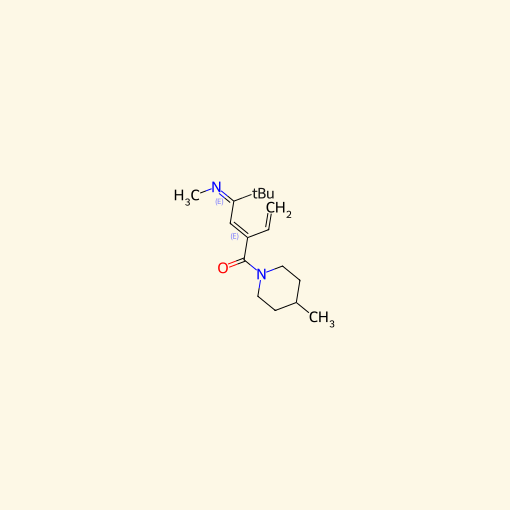 C=C/C(=C\C(=N/C)C(C)(C)C)C(=O)N1CCC(C)CC1